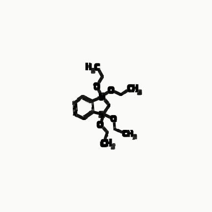 CCO[Si]1(OCC)C[Si](OCC)(OCC)c2ccccc21